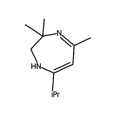 CC1=NC(C)(C)CNC(C(C)C)=C1